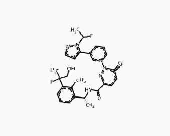 Cc1c([C@@H](C)NC(=O)c2ccc(=O)n(-c3cccc(-c4ccnn4C(C)F)c3)n2)cccc1C(C)(F)CO